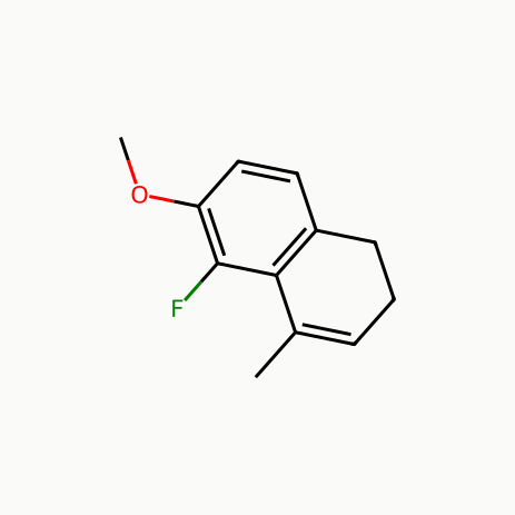 COc1ccc2c(c1F)C(C)=CCC2